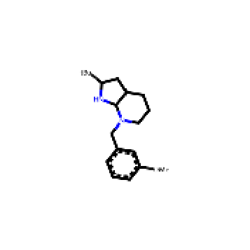 COc1cccc(CN2CCCC3CC(C(C)(C)C)NC32)c1